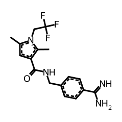 Cc1cc(C(=O)NCc2ccc(C(=N)N)cc2)c(C)n1CC(F)(F)F